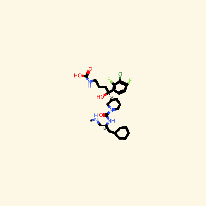 CNC[C@H](CC1CCCCC1)NC(=O)N1CCC[C@@H](C(O)(CCCNC(=O)O)c2ccc(F)c(Cl)c2F)C1